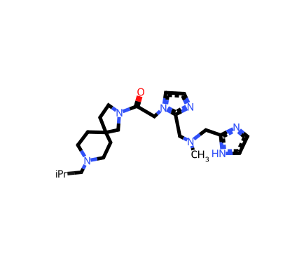 CC(C)CN1CCC2(CC1)CCN(C(=O)Cn1ccnc1CN(C)Cc1ncc[nH]1)C2